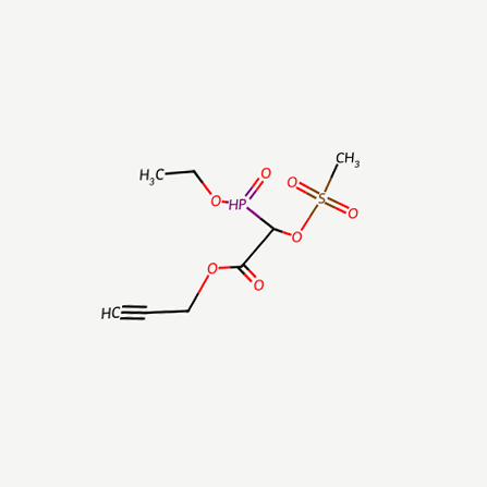 C#CCOC(=O)C(OS(C)(=O)=O)[PH](=O)OCC